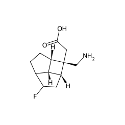 NC[C@@]1(CC(=O)O)[C@@H]2CC(F)C3CC[C@H]1[C@@H]32